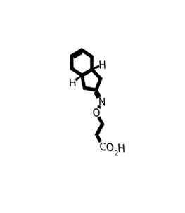 O=C(O)CCON=C1C[C@H]2CC=CC[C@H]2C1